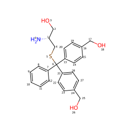 N[C@H](CO)CSC(c1ccccc1)(c1ccc(CO)cc1)c1ccc(CO)cc1